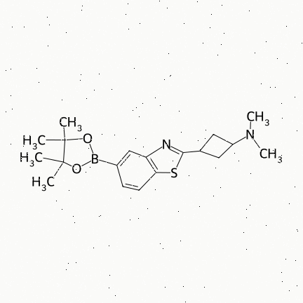 CN(C)C1CC(c2nc3cc(B4OC(C)(C)C(C)(C)O4)ccc3s2)C1